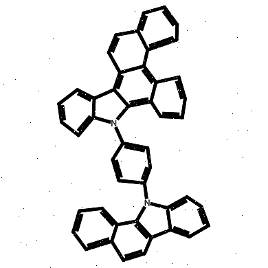 c1ccc2c(c1)ccc1c2c2ccccc2c2c1c1ccccc1n2-c1ccc(-n2c3ccccc3c3ccc4ccccc4c32)cc1